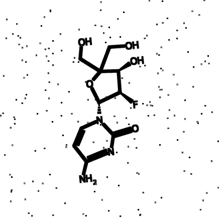 Nc1ccn([C@@H]2OC(CO)(CO)[C@@H](O)[C@H]2F)c(=O)n1